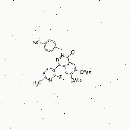 COc1cc2c(-c3ccc(C)nc3F)nn(Cc3ccc(C#N)cc3)c(=O)c2cc1OC